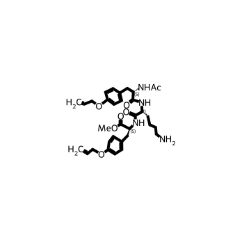 C=CCOc1ccc(C[C@H](NC(C)=O)C(=O)N[C@H](CCCCN)C(=O)N[C@@H](Cc2ccc(OCC=C)cc2)C(=O)OC)cc1